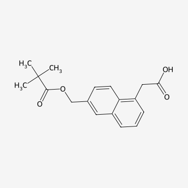 CC(C)(C)C(=O)OCc1ccc2c(CC(=O)O)cccc2c1